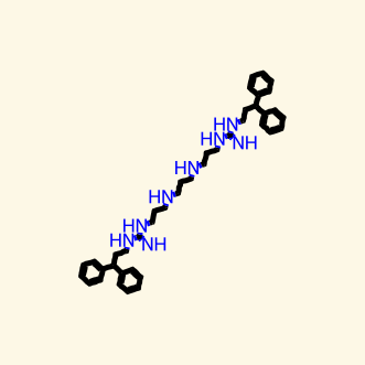 N=C(NCCCNCCCNCCCNC(=N)NCCC(c1ccccc1)c1ccccc1)NCCC(c1ccccc1)c1ccccc1